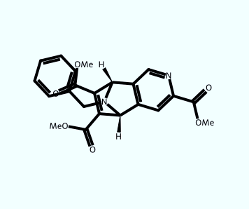 COC(=O)C1=C(C(=O)OC)[C@H]2c3cc(C(=O)OC)ncc3[C@@H]1N2Cc1ccccc1